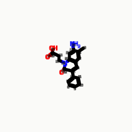 Cc1cc2cc(-c3ccccc3)c(=O)n(CCC(=O)O)c2cc1N